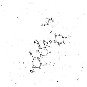 NC(=O)CCc1cc(F)ccc1OC[C@]1(O)CCN(c2c(F)cc(Cl)cc2F)C[C@H]1O